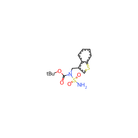 CC(C)(C)OC(=O)N(Cc1csc2ccccc12)S(N)(=O)=O